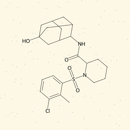 Cc1c(Cl)cccc1S(=O)(=O)N1CCCCC1C(=O)NC1C2CC3CC1CC(O)(C3)C2